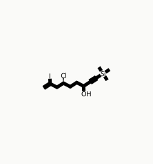 C=C(I)C[C@H](Cl)CCC(O)C#C[Si](C)(C)C